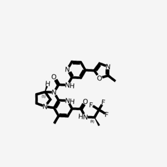 CC1=CC(C(=O)N[C@H](C)C(F)(F)F)NC2=C1N1CC[C@@H](C1)N2C(=O)Nc1cc(-c2cnc(C)o2)ccn1